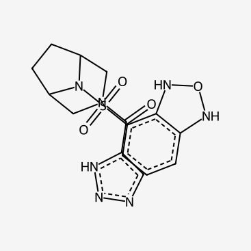 O=C(c1cnn[nH]1)N1CC2CCC(C1)N2S(=O)(=O)c1cccc2c1NON2